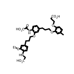 CCOc1cc(CCCOc2cc(CCCOc3cc(C)ccc3OCCC(=O)O)ccc2NC(=O)C(=O)O)ccc1NCC(=O)O